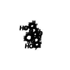 O=C1[C@H]2Cc3cccc(O)c3OC2C2(CCCCCC2)[C@@H]2Oc3c(O)cccc3C[C@@H]12